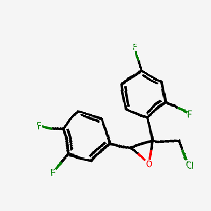 Fc1ccc(C2(CCl)OC2c2ccc(F)c(F)c2)c(F)c1